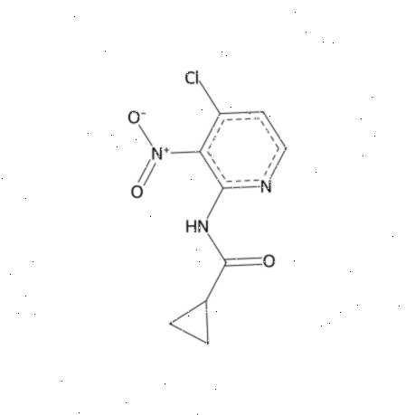 O=C(Nc1nccc(Cl)c1[N+](=O)[O-])C1CC1